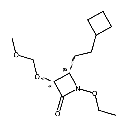 CCON1C(=O)[C@H](OCOC)[C@@H]1CCC1CCC1